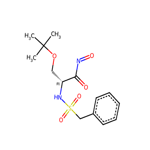 CC(C)(C)OC[C@@H](NS(=O)(=O)Cc1ccccc1)C(=O)N=O